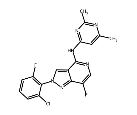 Cc1cc(Nc2ncc(F)c3nn(-c4c(F)cccc4Cl)cc23)nc(C)n1